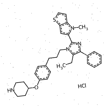 CCc1c(-c2ccccc2)nc(-c2cc3sccc3n2C)n1CCCc1ccc(OC2CCNCC2)cc1.Cl